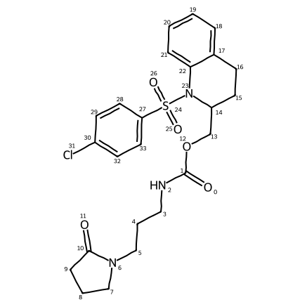 O=C(NCCCN1CCCC1=O)OCC1CCc2ccccc2N1S(=O)(=O)c1ccc(Cl)cc1